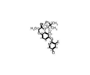 CC(C)C(C)(C)[Si](C)(C)OC(=O)[C@@H](C)Oc1ccc(Oc2ncc(Cl)cc2F)cc1